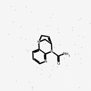 NC(=O)N1C2=CCN(C2)c2cccnc21